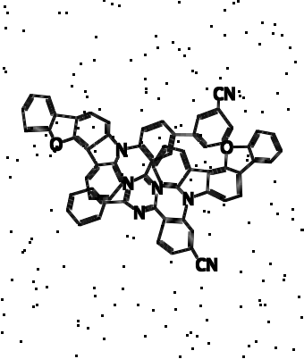 N#Cc1cccc(-c2ccc(-n3c4ccccc4c4c5oc6ccccc6c5ccc43)c(-c3nc(-c4ccccc4)nc(-c4ccc(C#N)cc4-n4c5ccccc5c5c6oc7ccccc7c6ccc54)n3)c2)c1